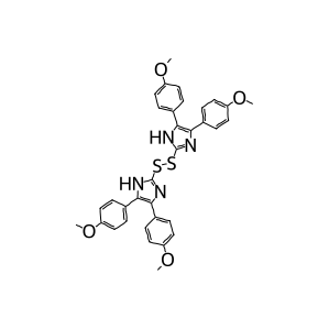 COc1ccc(-c2nc(SSc3nc(-c4ccc(OC)cc4)c(-c4ccc(OC)cc4)[nH]3)[nH]c2-c2ccc(OC)cc2)cc1